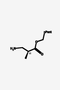 CCCCCCOC(=O)[C@@H](C)CN